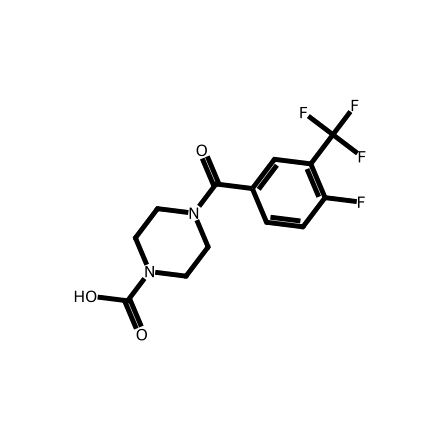 O=C(O)N1CCN(C(=O)c2ccc(F)c(C(F)(F)F)c2)CC1